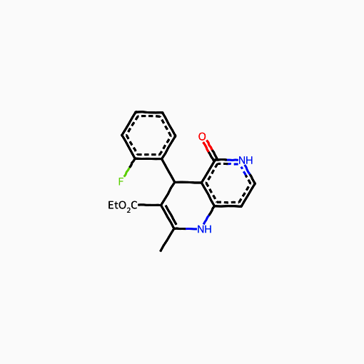 CCOC(=O)C1=C(C)Nc2cc[nH]c(=O)c2C1c1ccccc1F